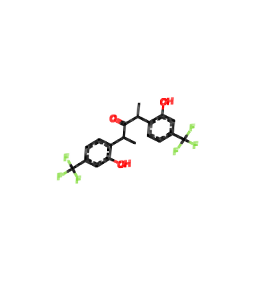 CC(C(=O)C(C)c1ccc(C(F)(F)F)cc1O)c1ccc(C(F)(F)F)cc1O